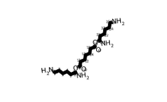 NCCCCCC(N)OC(=O)CCCCCC(=O)OC(N)CCCCCN